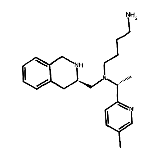 Cc1ccc([C@@H](C)N(CCCCN)C[C@H]2Cc3ccccc3CN2)nc1